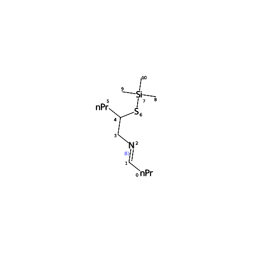 CCC/C=N/CC(CCC)S[Si](C)(C)C